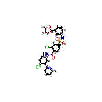 O=C(Nc1ccc(Cl)c(-c2ccccn2)c1)c1ccc(S(=O)(=O)Nc2cccc(C3OCCO3)c2)cc1Cl